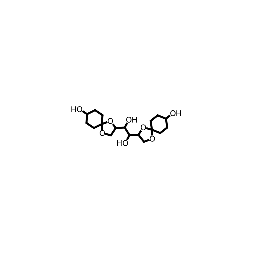 OC1CCC2(CC1)OCC(C(O)C(O)C1COC3(CCC(O)CC3)O1)O2